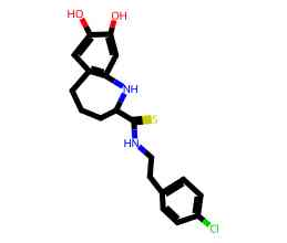 Oc1cc2c(cc1O)NC(C(=S)NCCc1ccc(Cl)cc1)CCC2